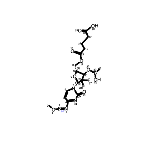 CO/B=N/c1ccn([C@@H]2O[C@H](COC(=O)CCCC(=O)O)C(OB(C)O)C2(F)F)c(=O)n1